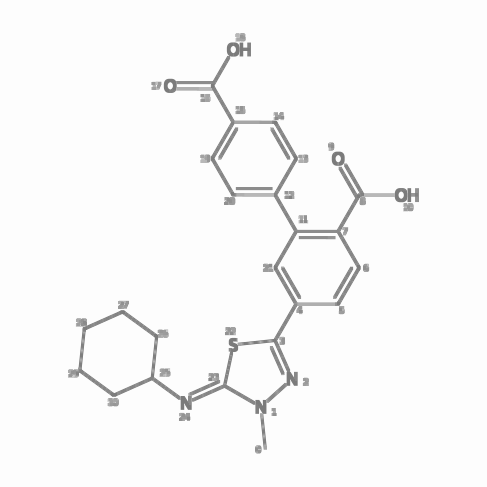 Cn1nc(-c2ccc(C(=O)O)c(-c3ccc(C(=O)O)cc3)c2)sc1=NC1CCCCC1